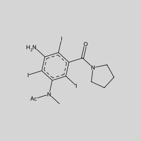 CC(=O)N(C)c1c(I)c(N)c(I)c(C(=O)N2CCCC2)c1I